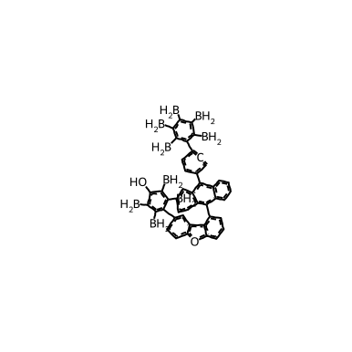 Bc1c(B)c(B)c(-c2ccc(-c3c4ccccc4c(-c4cccc5oc6ccc(-c7c(B)c(B)c(O)c(B)c7B)cc6c45)c4ccccc34)cc2)c(B)c1B